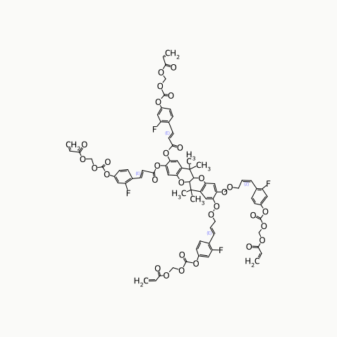 C=CC(=O)OCOC(=O)Oc1ccc(/C=C\COOc2cc3c(cc2OOC/C=C/c2ccc(OC(=O)OCOC(=O)C=C)cc2F)C(C)(C)C2Oc4cc(OC(=O)/C=C/c5ccc(OC(=O)OCOC(=O)C=C)cc5F)c(OC(=O)/C=C/c5ccc(OC(=O)OCOC(=O)C=C)cc5F)cc4C(C)(C)C2O3)c(F)c1